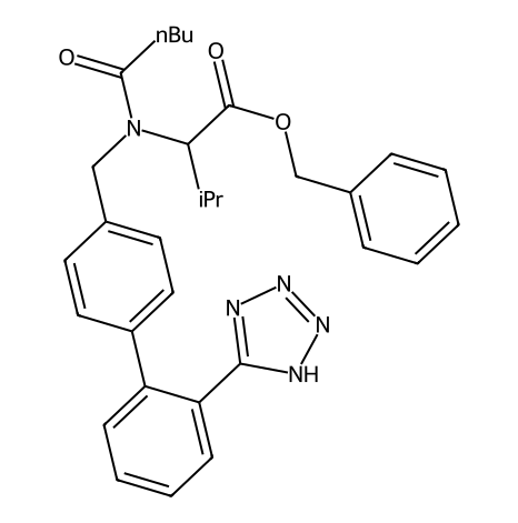 CCCCC(=O)N(Cc1ccc(-c2ccccc2-c2nnn[nH]2)cc1)C(C(=O)OCc1ccccc1)C(C)C